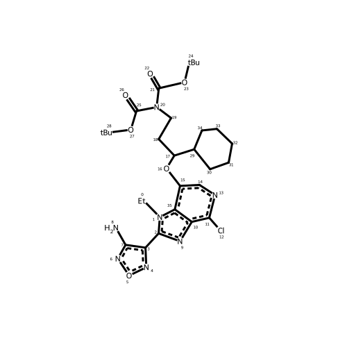 CCn1c(-c2nonc2N)nc2c(Cl)ncc(OC(CCN(C(=O)OC(C)(C)C)C(=O)OC(C)(C)C)C3CCCCC3)c21